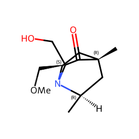 COC[C@@]1(CO)C(=O)[C@]2(C)CCN1[C@H](C)C2